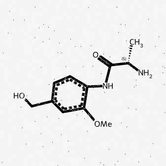 COc1cc(CO)ccc1NC(=O)[C@H](C)N